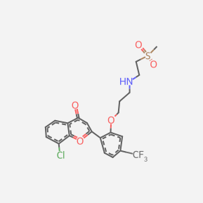 CS(=O)(=O)CCNCCCOc1cc(C(F)(F)F)ccc1-c1cc(=O)c2cccc(Cl)c2o1